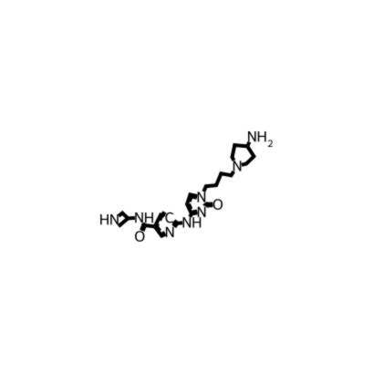 NC1CCN(CCCCn2ccc(Nc3ccc(C(=O)NC4CNC4)cn3)nc2=O)CC1